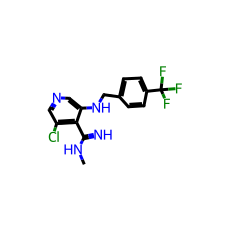 CNC(=N)c1c(Cl)cncc1NCc1ccc(C(F)(F)F)cc1